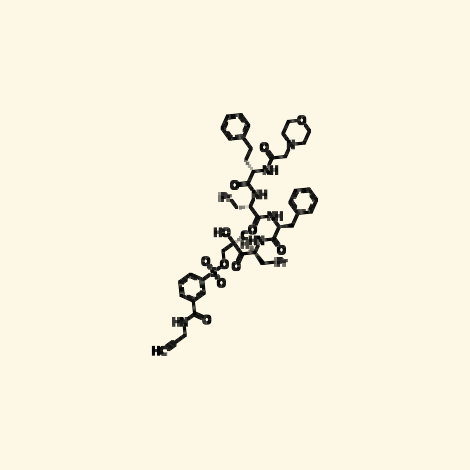 C#CCNC(=O)c1cccc(S(=O)(=O)OC[C@@](C)(O)C(=O)[C@H](CC(C)C)NC(=O)[C@H](Cc2ccccc2)NC(=O)[C@H](CC(C)C)NC(=O)[C@H](CCc2ccccc2)NC(=O)CN2CCOCC2)c1